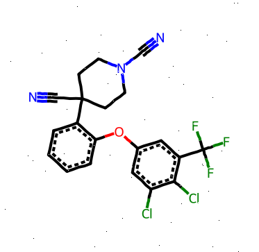 N#CN1CCC(C#N)(c2ccccc2Oc2cc(Cl)c(Cl)c(C(F)(F)F)c2)CC1